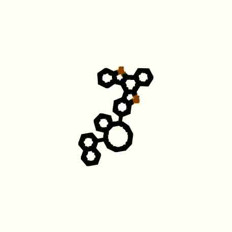 c1cccc(-c2cccc3ccccc23)c2ccccc2c(-c2ccc3c(c2)sc2c4ccccc4c4sc5ccccc5c4c32)cc1